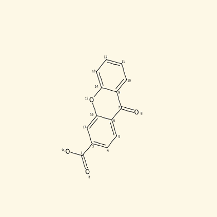 [O]C(=O)c1ccc2c(=O)c3ccccc3oc2c1